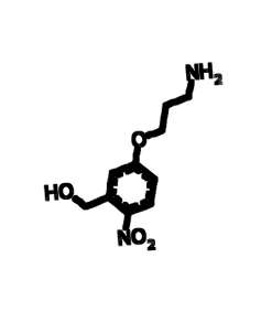 NCCCOc1ccc([N+](=O)[O-])c(CO)c1